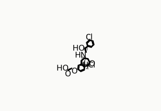 Cl.O.O=C(O)COc1ccc2c(c1)C[C@@H](NC[C@H](O)c1cccc(Cl)c1)CCC2